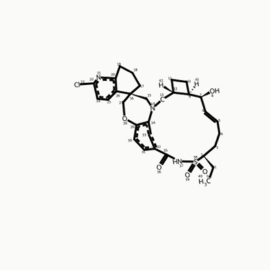 CC[C@@H]1CC/C=C/[C@H](O)[C@@H]2CC[C@H]2CN2C[C@@]3(CCCc4nc(Cl)ccc43)COc3ccc(cc32)C(=O)NS1(=O)=O